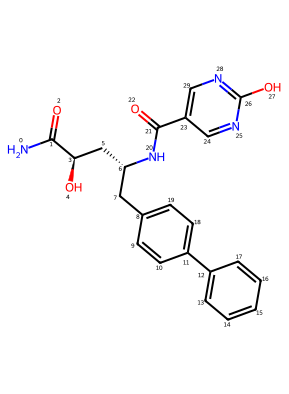 NC(=O)[C@H](O)C[C@@H](Cc1ccc(-c2ccccc2)cc1)NC(=O)c1cnc(O)nc1